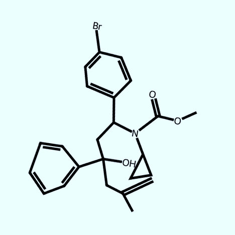 C=C(C)CC(O)(CC(c1ccc(Br)cc1)N(C(=O)OC)C1CC1)c1ccccc1